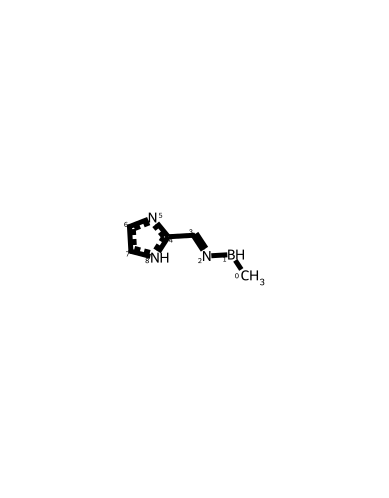 CBN=Cc1ncc[nH]1